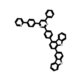 c1ccc(-c2cc(-c3ccc(-c4ccccn4)cc3)nc(-c3ccc(-c4ccc(-c5ccc6oc7ccccc7c6c5)c5oc6ccccc6c45)cc3)n2)cc1